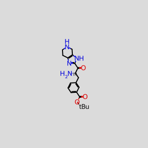 CC(C)(C)OC(=O)c1cccc(C[C@H](N)C(=O)c2nc3c([nH]2)CNCC3)c1